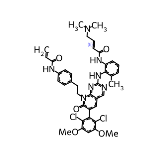 C=CC(=O)Nc1ccc(CCn2c(=O)c(-c3c(Cl)c(OC)cc(OC)c3Cl)cc3cnc(Nc4c(C)cccc4NC(=O)/C=C/CN(C)C)nc32)cc1